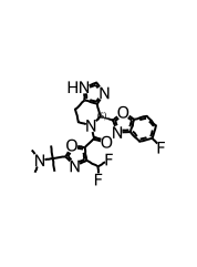 CN(C)C(C)(C)c1nc(C(F)F)c(C(=O)N2CCc3[nH]cnc3[C@H]2c2nc3cc(F)ccc3o2)o1